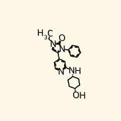 CCn1cc(-c2ccnc(N[C@H]3CC[C@H](O)CC3)c2)n(-c2ccccc2)c1=O